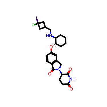 O=C1CCC(N2Cc3cc(O[C@H]4CCCCC4NCC4CC(F)(I)C4)ccc3C2=O)C(=O)N1